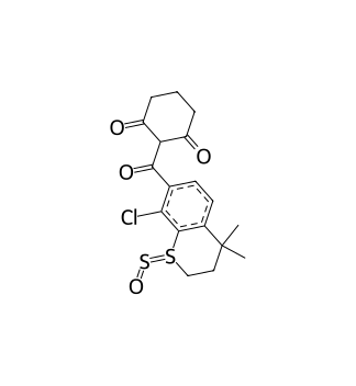 CC1(C)CCS(=S=O)c2c1ccc(C(=O)C1C(=O)CCCC1=O)c2Cl